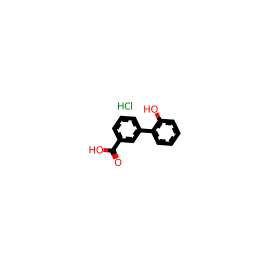 Cl.O=C(O)c1cccc(-c2ccccc2O)c1